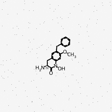 COc1cc2c(cc1Cc1ccccc1)C[C@H](N)C(=O)N2O